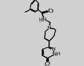 Cc1cccc(C(=O)NCN2CCC(c3ccc(=O)[nH]n3)CC2)c1